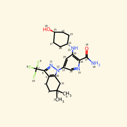 CC1(C)CCc2c(C(F)(F)F)nn(-c3cnc(C(N)=O)c(N[C@H]4CC[C@H](O)CC4)c3)c2C1